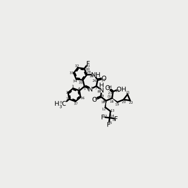 Cc1ccc(C2=NC(NC(=O)[C@H](CCC(F)(F)F)[C@H](CC3CC3)C(=O)O)C(=O)Nc3c(F)cccc32)cc1